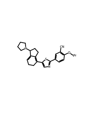 CC(C)Oc1ccc(-c2ncc(C3=C4CCC(N5CCCC5)C4=CCC3)s2)cc1C#N